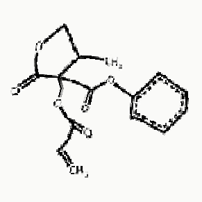 C=CC(=O)OC1(C(=O)Oc2ccccc2)C(=O)OCC1C